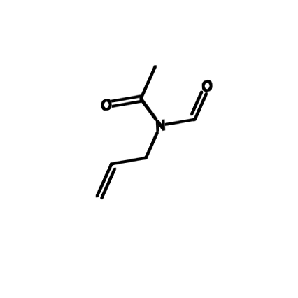 C=CCN(C=O)C(C)=O